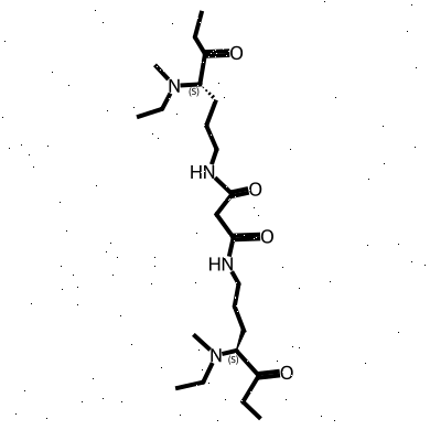 CCC(=O)[C@H](CCCNC(=O)CC(=O)NCCC[C@@H](C(=O)CC)N(C)CC)N(C)CC